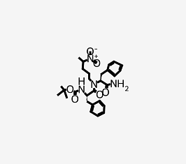 CC(CCCN(C(=O)[C@H](Cc1ccccc1)NC(=O)OC(C)(C)C)[C@@H](Cc1ccccc1)C(N)=O)[N+](=O)[O-]